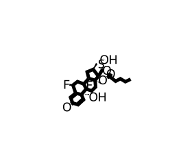 CCCCC(=O)O[C@]1(C(=O)SO)[C@H](C)CC2C3C[C@H](F)C4=CC(=O)C=C[C@]4(C)[C@@]3(F)[C@@H](O)C[C@@]21C